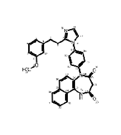 COc1cccc(CCc2nccn2-c2ccc(N3C(=O)CC(=O)Nc4c3ccc3ccccc43)cc2)c1